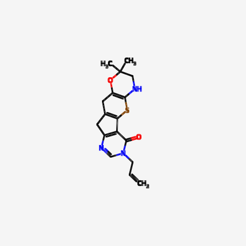 C=CCn1cnc2c(c1=O)C1=C(CC3=C(NCC(C)(C)O3)S1)C2